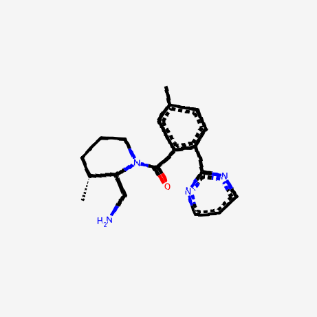 Cc1ccc(-c2ncccn2)c(C(=O)N2CCC[C@@H](C)C2CN)c1